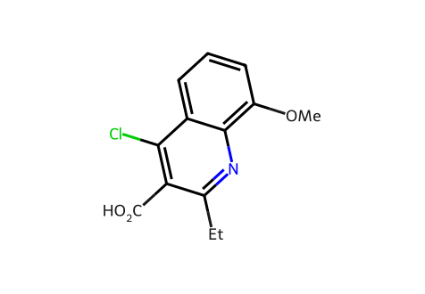 CCc1nc2c(OC)cccc2c(Cl)c1C(=O)O